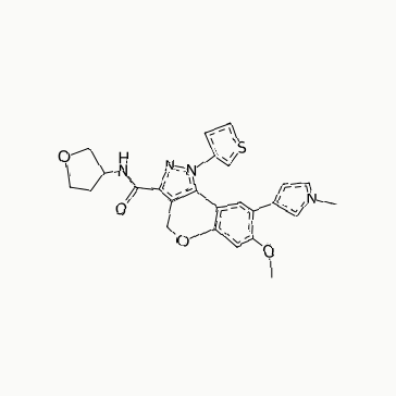 COc1cc2c(cc1-c1ccn(C)c1)-c1c(c(C(=O)NC3CCOC3)nn1-c1ccsc1)CO2